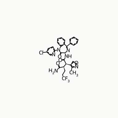 Cc1nocc1[C@H](C(=O)N[C@H]1N=C(c2ccccc2)c2ccccc2N(c2ccc(Cl)cn2)C1=O)[C@@H](CCC(F)(F)F)C(N)=O